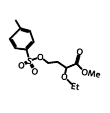 CCOC(CCOS(=O)(=O)c1ccc(C)cc1)C(=O)OC